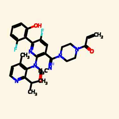 C=CC(=O)N1CCN(/C(=N/C)c2cc(F)c(-c3c(O)cccc3F)nc2N(C=O)c2c(C)ccnc2C(C)C)CC1